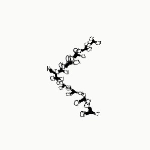 ClC(Cl)Cl.ClC(Cl)Cl.ClC(Cl)Cl.ClC(Cl)Cl.ClC(Cl)Cl.ClC(Cl)Cl.ClC(Cl)Cl.ClC(Cl)Cl.ClC(Cl)Cl.N#CCC(Cl)(Cl)Cl